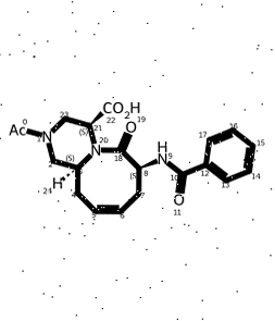 CC(=O)N1C[C@@H]2CC=CC[C@H](NC(=O)c3ccccc3)C(=O)N2[C@H](C(=O)O)C1